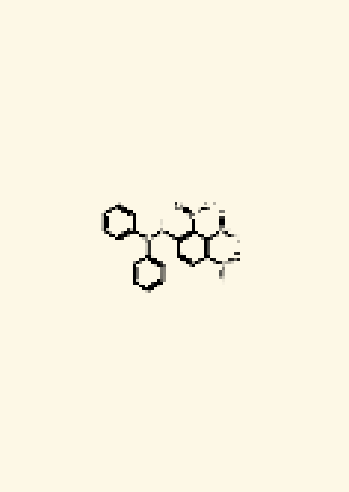 O=[N+]([O-])c1ccc(NN(c2ccccc2)c2ccccc2)c([N+](=O)[O-])c1[N+](=O)[O-]